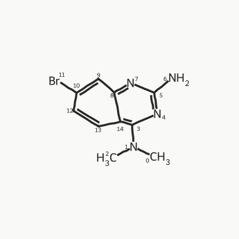 CN(C)c1nc(N)nc2cc(Br)ccc12